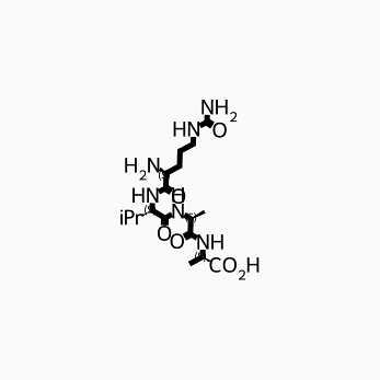 CC(C)[C@H](NC(=O)[C@@H](N)CCCNC(N)=O)C(=O)N[C@@H](C)C(=O)N[C@@H](C)C(=O)O